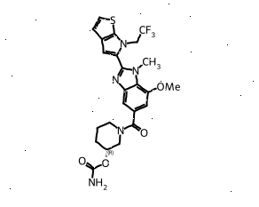 COc1cc(C(=O)N2CCC[C@@H](OC(N)=O)C2)cc2nc(-c3cc4ccsc4n3CC(F)(F)F)n(C)c12